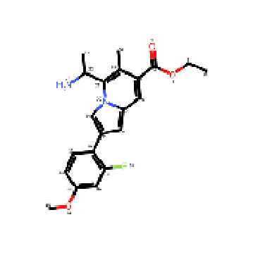 CCOC(=O)c1cc2cc(-c3ccc(OC)cc3F)cn2c(C(C)N)c1C